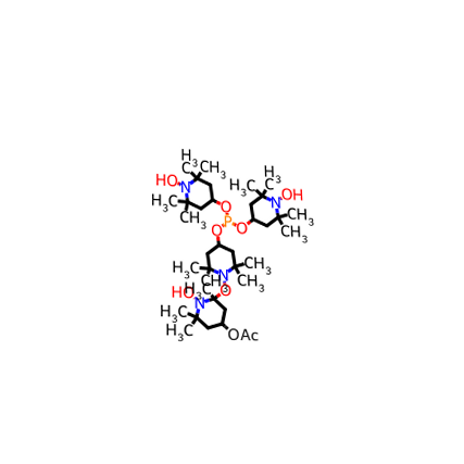 CC(=O)OC1CC(C)(C)N(O)C(C)(ON2C(C)(C)CC(OP(OC3CC(C)(C)N(O)C(C)(C)C3)OC3CC(C)(C)N(O)C(C)(C)C3)CC2(C)C)C1